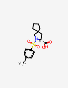 Cc1ccc(S(=O)(=O)N2CC3(CCCC3)C[C@@H]2C(=O)O)cc1